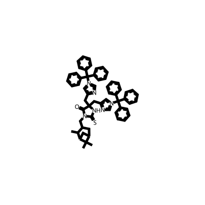 CC1C(CN2C(=O)C(Cc3cn(C(c4ccccc4)(c4ccccc4)c4ccccc4)cn3)(Cc3cn(C(c4ccccc4)(c4ccccc4)c4ccccc4)cn3)NC2=S)CC2CC1C2(C)C